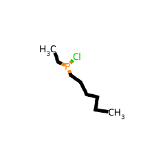 CCCCCCP(Cl)CC